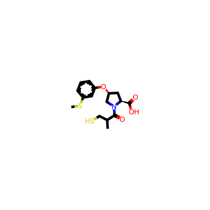 CSc1cccc(O[C@H]2C[C@@H](C(=O)O)N(C(=O)C(C)CS)C2)c1